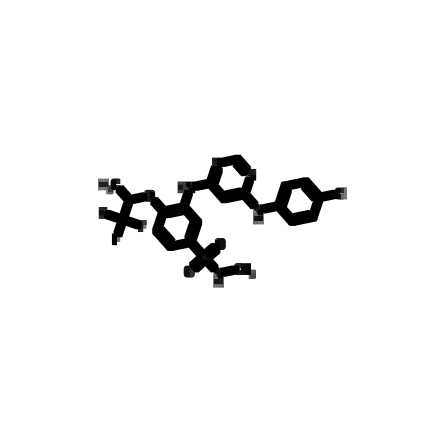 CNS(=O)(=O)c1ccc(OC(C)C(F)(F)F)c(Nc2cc(Nc3ccc(Cl)cc3)ncn2)c1